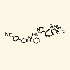 N#Cc1ccc(N2CCC[C@H](N[C@@H]3CCCC[C@H]3Nc3cc(-c4cccc(S(N)(=O)=O)c4)ccn3)C2)cc1